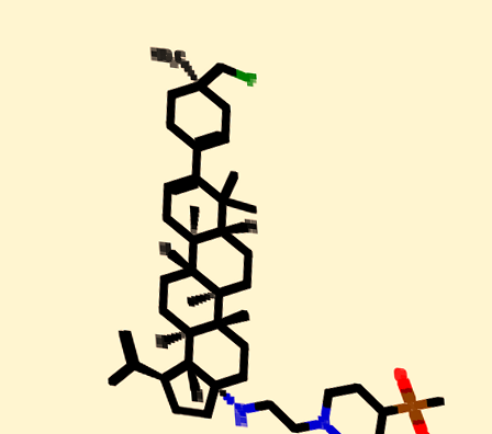 C=C(C)[C@@H]1CC[C@]2(NCCN3CCC(S(C)(=O)=O)CC3)CC[C@]3(C)[C@H](CC[C@@H]4[C@@]5(C)CC=C(C6=CC[C@@](CF)(C(=O)O)CC6)C(C)(C)[C@@H]5CC[C@]43C)[C@@H]12